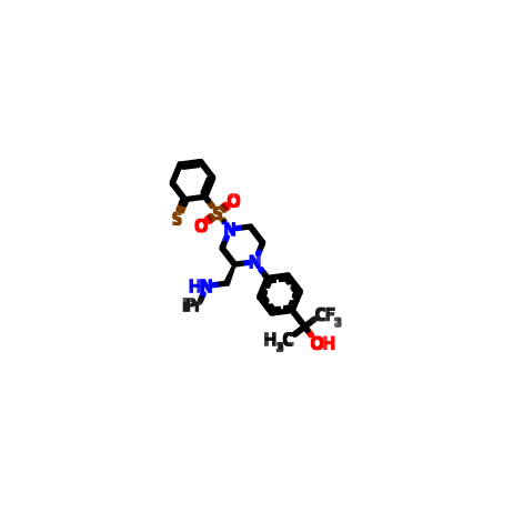 CC(C)NC[C@H]1CN(S(=O)(=O)C2=CC=CCC2=S)CCN1c1ccc(C(C)(O)C(F)(F)F)cc1